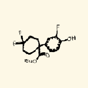 CC(C)COC(=O)C1(c2ccc(O)c(F)c2)CCC(F)(F)CC1